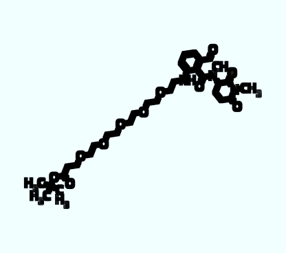 CN1C(=O)CCC(N(C)C(=O)c2c(C=O)cccc2NCCOCCOCCOCCOCCOCCC(=O)OC(C)(C)C)C1=O